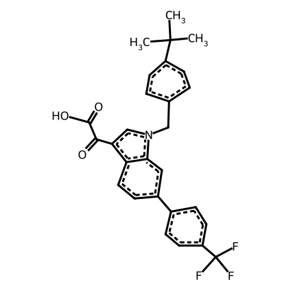 CC(C)(C)c1ccc(Cn2cc(C(=O)C(=O)O)c3ccc(-c4ccc(C(F)(F)F)cc4)cc32)cc1